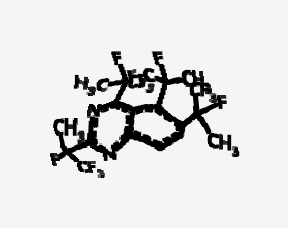 CC(F)(c1nc(C(C)(F)C(F)(F)F)c2c(C(C)(F)C(F)(F)F)c(C(C)(F)C(F)(F)F)ccc2n1)C(F)(F)F